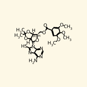 COc1cc(C(=O)OC[C@H]2O[C@@H](n3c(S)nc4c(N)ncnc43)[C@@H]3OC(C)(C)O[C@@H]32)cc(OC)c1OC